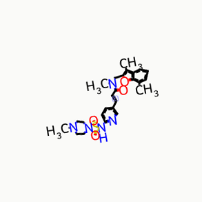 Cc1c(CN(C)C(=O)/C=C/c2ccc(NS(=O)(=O)N3CCN(C)CC3)nc2)oc2c(C)cccc12